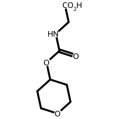 O=C(O)CNC(=O)OC1CCOCC1